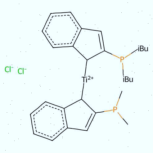 CCC(C)P(C1=Cc2ccccc2[CH]1[Ti+2][CH]1C(P(C)C)=Cc2ccccc21)C(C)CC.[Cl-].[Cl-]